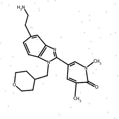 Cc1cc(-c2nc3cc(CCN)ccc3n2CC2CCOCC2)cn(C)c1=O